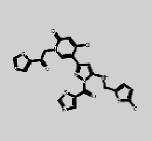 O=C(Cn1cc(-c2cc(NCc3ccc(Cl)s3)n(C(=O)c3cncs3)n2)c(Cl)cc1=O)c1cncs1